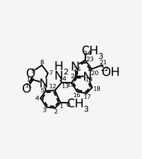 Cc1cccc(N2CCOC2=O)c1C(N)c1cccn2c(CO)c(C)nc12